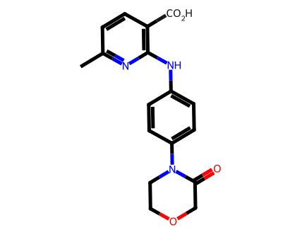 Cc1ccc(C(=O)O)c(Nc2ccc(N3CCOCC3=O)cc2)n1